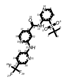 CC(C)(C)S(=O)(=O)c1ccncc1NC(=O)c1ccnc(Nc2ccc(C(F)(F)F)cn2)c1